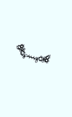 O=C(OCCCCCCCOC(=O)N1CCCN(S(=O)(=O)c2cccc3cnccc23)CC1)N1CCCN(S(=O)(=O)c2cccc3cnccc23)CC1